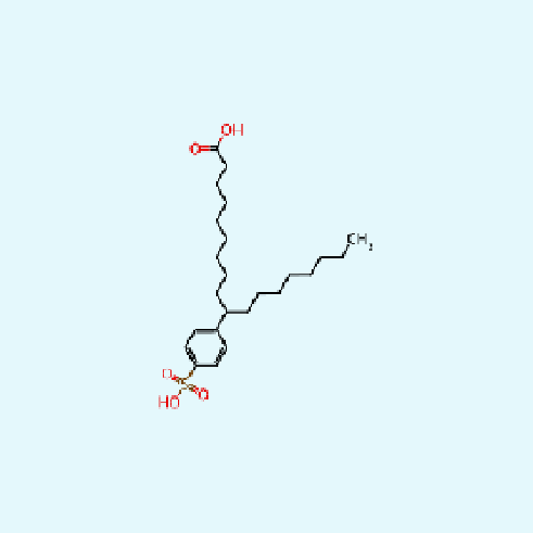 CCCCCCCCC(CCCCCCCCC(=O)O)c1ccc(S(=O)(=O)O)cc1